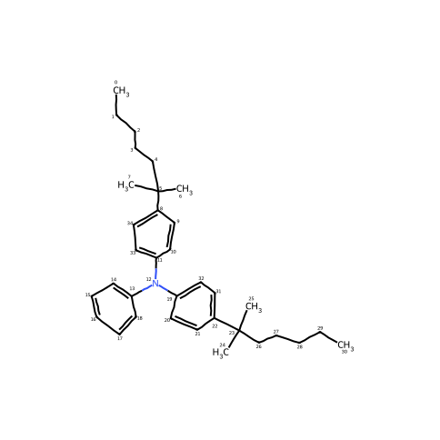 CCCCCC(C)(C)c1ccc(N(c2ccccc2)c2ccc(C(C)(C)CCCCC)cc2)cc1